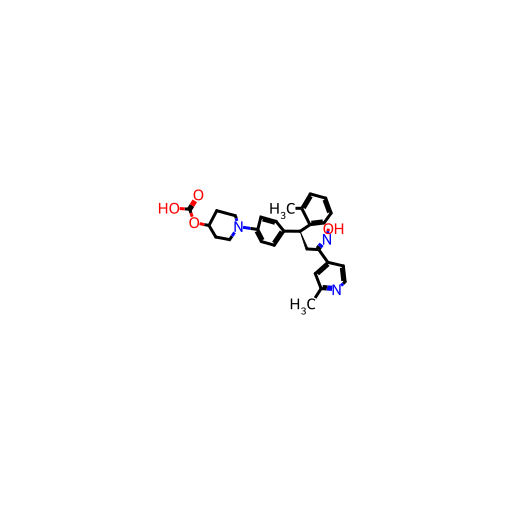 Cc1cc(/C(C[C@@H](c2ccc(N3CCC(OC(=O)O)CC3)cc2)c2ccccc2C)=N/O)ccn1